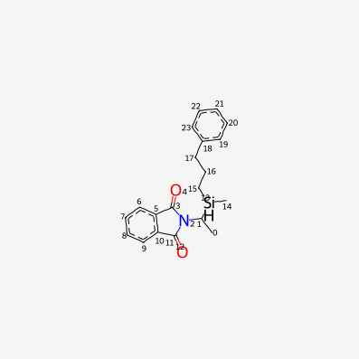 CC(N1C(=O)c2ccccc2C1=O)[SiH](C)CCCc1ccccc1